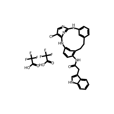 O=C(Cc1c[nH]c2ccccc12)Nc1ccc2cc1CCc1cccc(c1)Nc1ncc(Cl)c(n1)N2.O=C(O)C(F)(F)F.O=C(O)C(F)(F)F